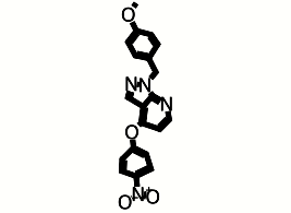 COc1ccc(Cn2ncc3c(Oc4ccc([N+](=O)[O-])cc4)ccnc32)cc1